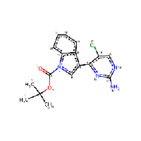 CC(C)(C)OC(=O)n1cc(-c2nc(N)ncc2Cl)c2ccccc21